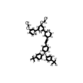 CC(C)(C)c1ccc(N(c2ccc(C#Cc3ccnc(-c4cc(OC=O)cc(-c5cc(OC=O)ccn5)n4)c3)cc2)c2ccc(C(C)(C)C)cc2)cc1